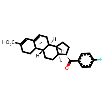 C[C@]12CC[C@H]3[C@@H](CC=C4C=C(C(=O)O)CC[C@@]43C)[C@@H]1CC[C@@H]2C(=O)c1ccc(F)cc1